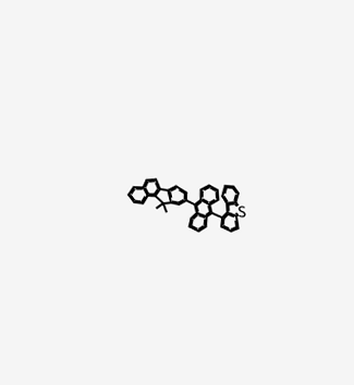 CC1(C)c2cc(-c3c4ccccc4c(-c4cccc5sc6ccccc6c45)c4ccccc34)ccc2-c2ccc3ccccc3c21